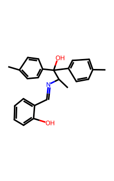 Cc1ccc(C(O)(c2ccc(C)cc2)C(C)N=Cc2ccccc2O)cc1